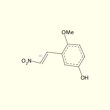 COc1ccc(O)cc1/C=C/[N+](=O)[O-]